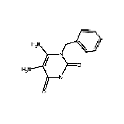 NC1=C(N)N(Cc2ccccc2)C(=O)[N]C1=O